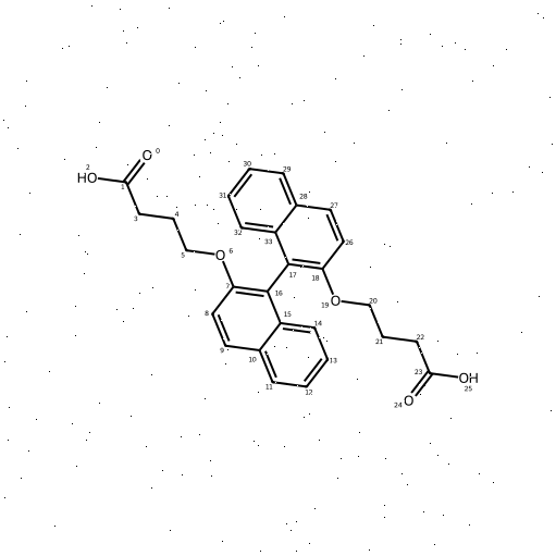 O=C(O)CCCOc1ccc2ccccc2c1-c1c(OCCCC(=O)O)ccc2ccccc12